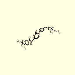 CC(C)(N)CC1CCN(C(=O)Nc2ccn(-c3ccc(CN4C[C@@H]5[C@@H](N)[C@@H]5C4)cc3)c(=O)n2)CC1